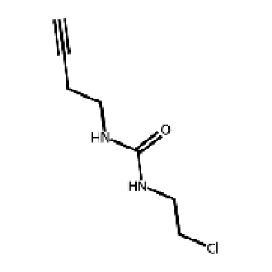 C#CCCNC(=O)NCCCl